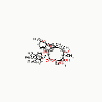 CC[C@H]1OC(=O)[C@H](C)[C@@H](O[C@H]2C[C@@](C)(OC)[C@@H](OC)[C@H](C)O2)[C@H](C)[C@@H](O[C@@H]2O[C@H](C)CC[C@H]2OC)[C@](C)(OC)C[C@@H](C)C(=O)[C@H](C)[C@@H](O)[C@]1(C)O